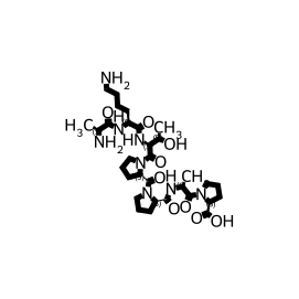 C[C@H](N)C(=O)N[C@@H](CCCCN)C(=O)N[C@H](C(=O)N1CCC[C@H]1C(=O)N1CCC[C@H]1C(=O)N[C@@H](C)C(=O)N1CCC[C@H]1C(=O)O)[C@@H](C)O